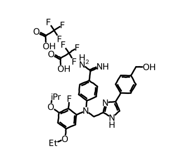 CCOc1cc(OC(C)C)c(F)c(N(Cc2nc(-c3ccc(CO)cc3)c[nH]2)c2ccc(C(=N)N)cc2)c1.O=C(O)C(F)(F)F.O=C(O)C(F)(F)F